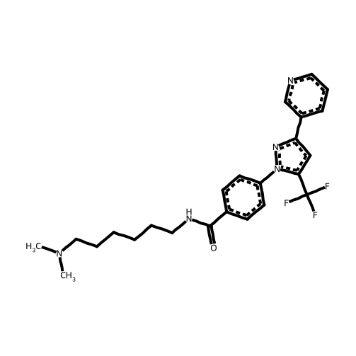 CN(C)CCCCCCNC(=O)c1ccc(-n2nc(-c3cccnc3)cc2C(F)(F)F)cc1